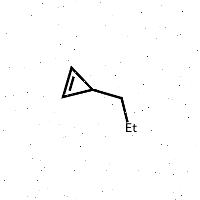 CCC[C]1C=C1